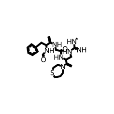 C=C(NCC(=O)NC(CNC(=N)NC)C(=C)N1CCCSCC1)C(Cc1ccccc1)NC=O